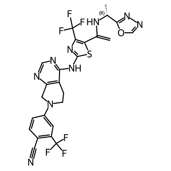 C=C(N[C@H](C)c1nnco1)c1sc(Nc2ncnc3c2CCN(c2ccc(C#N)c(C(F)(F)F)c2)C3)nc1C(F)(F)F